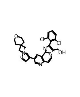 OCc1c(-c2c(Cl)cccc2Cl)nc2c3cc(-c4cnn(CC5(F)CCOCC5)c4)cnc3ccn12